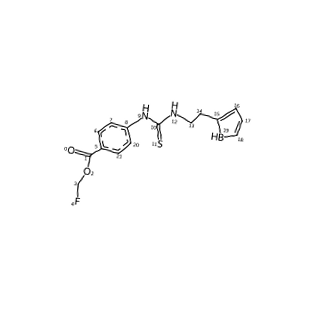 O=C(OCF)c1ccc(NC(=S)NCCC2=CC=CB2)cc1